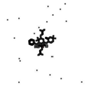 C=C1CC(C)(C)CCC1CC12CC(CC=C(C)C)C(C)(C)C(C(=O)c3ccccc3)(C1=O)C(O)=C(CC=C(C)C)C2=O